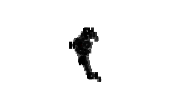 CC/C=C\C(CC)=C(\C1=C(C(C)c2cccc3c(-c4ccnc(/C=C/C=C/CCC)c4)cccc23)CCC=C1)c1ccccc1